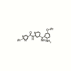 CC(C)Oc1ccc(N)c(C(=N)c2ccnc(NC(=O)c3cnc(C(C)C)nc3)c2)c1